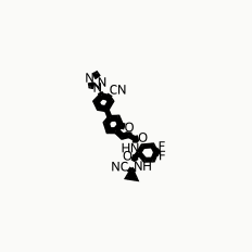 N#Cc1cc(-c2ccc3cc(C(=O)NC4(C(=O)NC5(C#N)CC5)CCC(F)(F)CC4)oc3c2)ccc1-n1cncn1